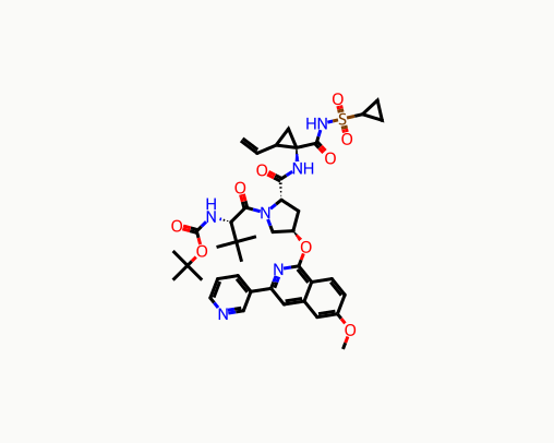 C=CC1C[C@]1(NC(=O)[C@@H]1C[C@@H](Oc2nc(-c3cccnc3)cc3cc(OC)ccc23)CN1C(=O)[C@@H](NC(=O)OC(C)(C)C)C(C)(C)C)C(=O)NS(=O)(=O)C1CC1